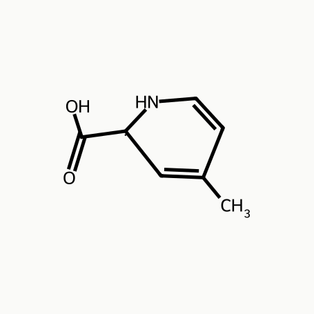 CC1=C[C](C(=O)O)NC=C1